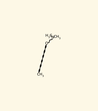 CC#CC#CC#CC#CC#CC#COCCCN(C)C